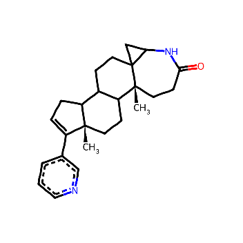 C[C@]12CCC3C(CCC45CC4NC(=O)CC[C@]35C)C1CC=C2c1cccnc1